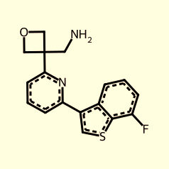 NCC1(c2cccc(-c3csc4c(F)cccc34)n2)COC1